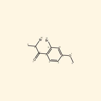 COc1ccc(C(=O)C(C)Br)c(Br)c1